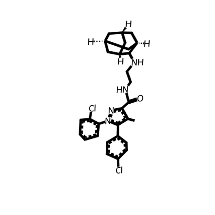 Cc1c(C(=O)NCCNC2[C@H]3C[C@@H]4C[C@@H](C[C@H]2C4)C3)nn(-c2ccccc2Cl)c1-c1ccc(Cl)cc1